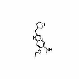 CCOc1cc2nc(CC3CCOC3)cn2cc1NC